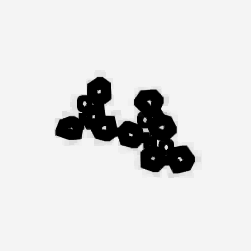 c1ccc(-n2c3ccc(-c4ccc(N(c5cccc6c5oc5ccccc56)c5cccc6c5oc5ccccc56)cc4)cc3c3c4ccccc4oc32)cc1